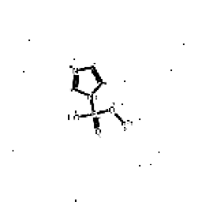 CCCOP(=O)(O)n1ccnc1